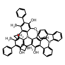 Bc1c(B)c(-n2c3c(C4CC4)c(B)c(-c4ccccc4)c(O)c3ooc3c(O)c(-c4ccccc4-n4c5ccccc5c5ccccc54)c(O)c(C4CCC4)c32)c(B)c(O)c1-c1ccccc1